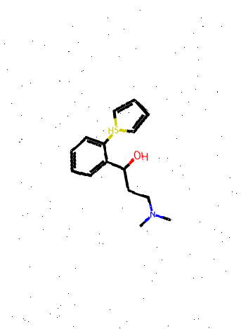 CN(C)CCC(O)c1ccccc1[SH]1C=CC=C1